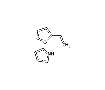 C=Cc1ccco1.c1cc[nH]c1